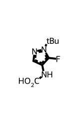 CC(C)(C)n1ncc(NC(=O)O)c1F